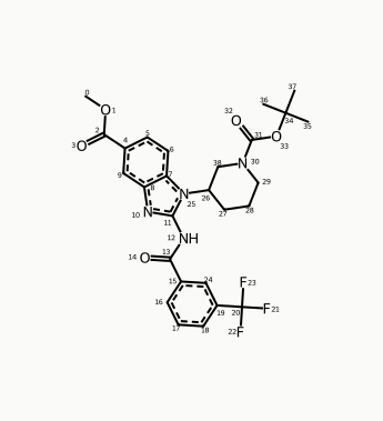 COC(=O)c1ccc2c(c1)nc(NC(=O)c1cccc(C(F)(F)F)c1)n2C1CCCN(C(=O)OC(C)(C)C)C1